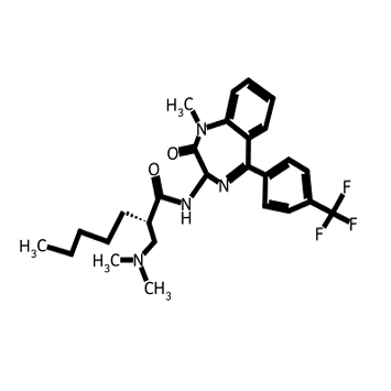 CCCCC[C@@H](CN(C)C)C(=O)NC1N=C(c2ccc(C(F)(F)F)cc2)c2ccccc2N(C)C1=O